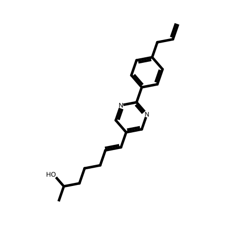 C=CCc1ccc(-c2ncc(C=CCCCC(C)O)cn2)cc1